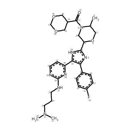 CC1COC(c2nc(-c3ccc(F)cc3)c(-c3ccnc(NCCCN(C)C)n3)[nH]2)CN1C(=O)C1COCOC1